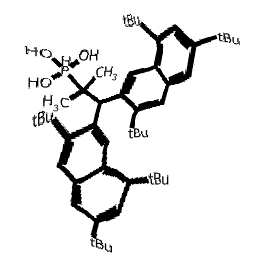 CC(C)(C)c1cc(C(C)(C)C)c2cc(C(c3cc4c(C(C)(C)C)cc(C(C)(C)C)cc4cc3C(C)(C)C)C(C)(C)[PH](O)(O)O)c(C(C)(C)C)cc2c1